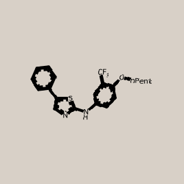 CCCCCOc1ccc(Nc2ncc(-c3ccccc3)s2)cc1C(F)(F)F